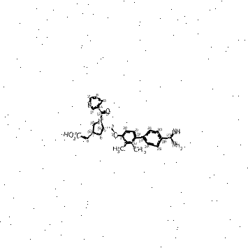 Cc1c(OC[C@@H]2C[C@@H](CC(=O)O)CN2C(=O)c2cccnc2)ccc(-c2ccc(C(=N)N)cc2)c1C